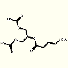 CCCCCCCCCCCCCC(=O)OC(COC(=O)CC)COC(=O)CC